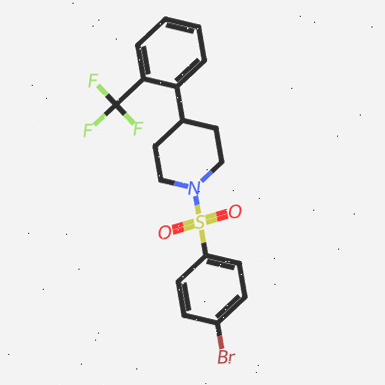 O=S(=O)(c1ccc(Br)cc1)N1CCC(c2ccccc2C(F)(F)F)CC1